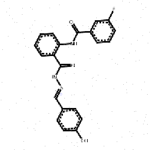 O=C(Nc1ccccc1C(=O)N/N=C/c1ccc(O)cc1)c1cccc(F)c1